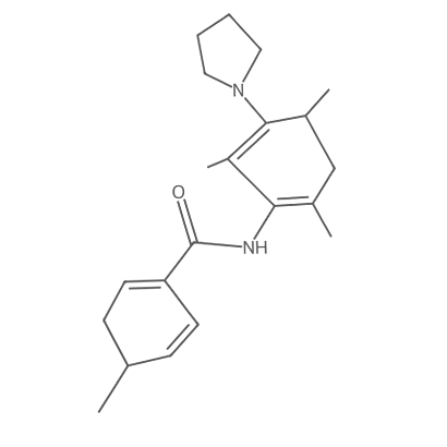 CC1=C(NC(=O)C2=CCC(C)C=C2)C(C)=C(N2CCCC2)C(C)C1